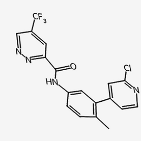 Cc1ccc(NC(=O)c2cc(C(F)(F)F)cnn2)cc1-c1ccnc(Cl)c1